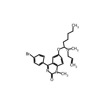 C=CCN(C)C(CCCCC)Oc1ccc2c(c1)c(-c1ccc(Br)cc1)nc(=O)n2C